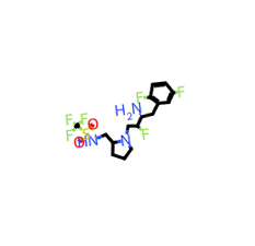 N[C@H](Cc1cc(F)ccc1F)C(F)CN1CCCC1CNS(=O)(=O)C(F)(F)F